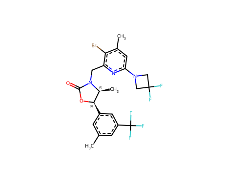 Cc1cc([C@H]2OC(=O)N(Cc3nc(N4CC(F)(F)C4)cc(C)c3Br)[C@H]2C)cc(C(F)(F)F)c1